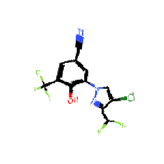 N#Cc1cc(-n2cc(Cl)c(C(F)F)n2)c(O)c(C(F)(F)F)c1